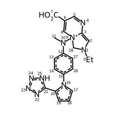 CCN1C=C2N=CC(C(=O)O)=C[N+]2(N(C)c2ccc(-n3cccc3-c3nnn[nH]3)cc2)C1